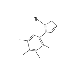 Cc1cc(C2=[C]([Ti])CC=C2)c(C)c(C)c1C